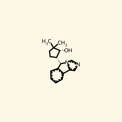 CC1(C)CC[C@@H](C2c3ccccc3-c3cncn32)[C@H]1O